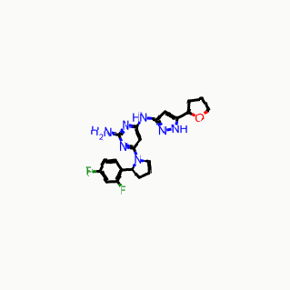 Nc1nc(Nc2cc(C3CCCO3)[nH]n2)cc(N2CCCC2c2ccc(F)cc2F)n1